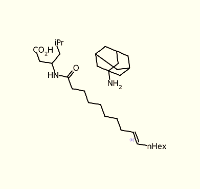 CCCCCC/C=C/CCCCCCCC(=O)NC(CC(=O)O)CC(C)C.NC12CC3CC(CC(C3)C1)C2